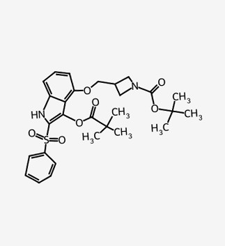 CC(C)(C)OC(=O)N1CC(COc2cccc3[nH]c(S(=O)(=O)c4ccccc4)c(OC(=O)C(C)(C)C)c23)C1